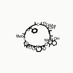 COC1CC2CCC(C)C(O)(O2)C(=O)C(=O)N2CCCCC2C(=O)OC(C(C)C2CCCC(O)C2OC)CC(=O)C(C)/C=C(\C)C(O)C(OC)C(=O)C(C)CC(C)C2C=CC(/C=C/1C)ON2c1ccccc1